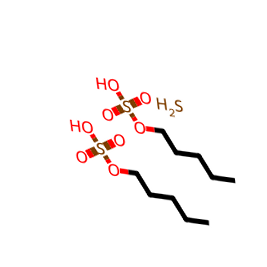 CCCCCOS(=O)(=O)O.CCCCCOS(=O)(=O)O.S